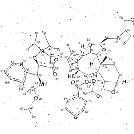 CC(=O)O[C@@]12CO[C@@H]1CC[C@@]1(C)[C@@H]3O[C@H](CN4CC[C@H]4CO)O[C@@H]3C3=C(C)[C@@H](OC(=O)[C@H](O[Si](C(C)C)(C(C)C)C(C)C)[C@@H](NC(=O)OC(C)C)c4ncccc4F)C[C@@](O)([C@@H](OC(=O)c4ccccc4)[C@@H]12)C3(C)C